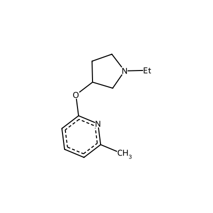 CCN1CCC(Oc2cccc(C)n2)C1